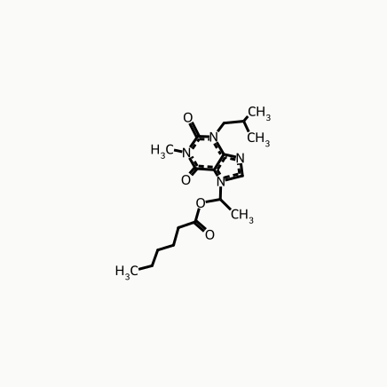 CCCCCC(=O)OC(C)n1cnc2c1c(=O)n(C)c(=O)n2CC(C)C